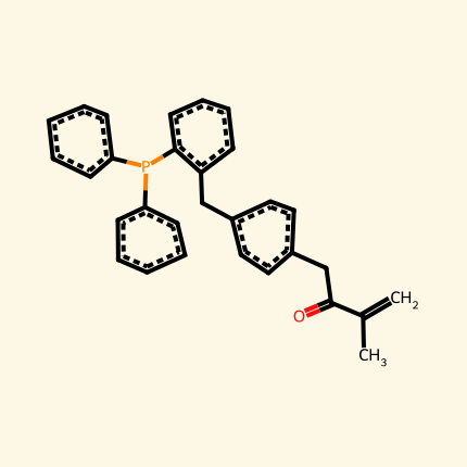 C=C(C)C(=O)Cc1ccc(Cc2ccccc2P(c2ccccc2)c2ccccc2)cc1